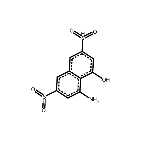 Nc1cc([SH](=O)=O)cc2cc([SH](=O)=O)cc(O)c12